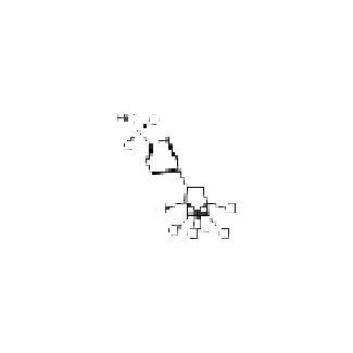 O=S(=O)(O)c1ccc(C2CC3(Cl)C(Cl)=C(Cl)C2(Cl)C3(Cl)Cl)cc1